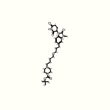 Cn1c(=O)n(C2CCC(=O)NC2=O)c2ccc(CCCOCCCCN3CCN(C(=O)OC(C)(C)C)CC3)cc21